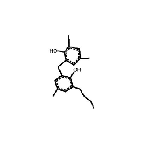 CCCCc1cc(C)cc(Cc2cc(C)cc(I)c2O)c1O